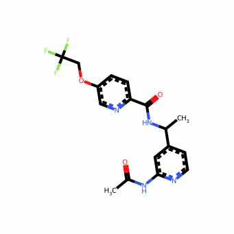 CC(=O)Nc1cc(C(C)NC(=O)c2ccc(OCC(F)(F)F)cn2)ccn1